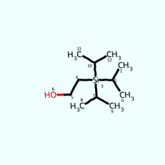 CC(C)[Si](CCO)(C(C)C)C(C)C